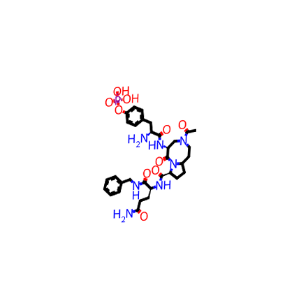 CC(=O)N1CCC2CC[C@@H](C(=O)N[C@@H](CCC(N)=O)C(=O)NCc3ccccc3)N2C(=O)[C@@H](NC(=O)[C@@H](N)Cc2ccc(OP(=O)(O)O)cc2)C1